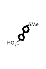 CSc1ccc(-c2ccc(C(=O)O)cc2)cc1